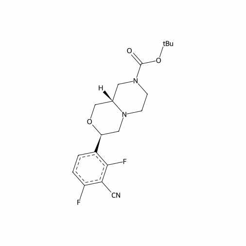 CC(C)(C)OC(=O)N1CCN2C[C@@H](c3ccc(F)c(C#N)c3F)OC[C@@H]2C1